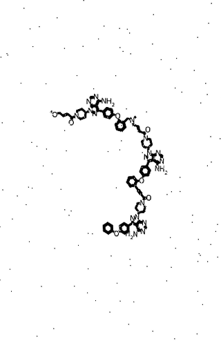 COC/C=C/C(=O)N1CCC(n2nc(-c3ccc(Oc4ccccc4CN(C)C/C=C/C(=O)N4CCC(n5nc(-c6ccc(Oc7ccccc7C#CC(=O)N7CCC(n8nc(-c9ccc(Oc%10ccccc%10)cc9)c9c(N)ncnc98)CC7)cc6)c6c(N)ncnc65)CC4)cc3)c3c(N)ncnc32)CC1